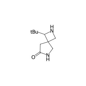 CC(C)(C)C1NCC12CNC(=O)C2